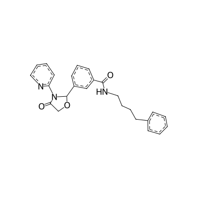 O=C(NCCCCc1ccccc1)c1cccc(C2OCC(=O)N2c2ccccn2)c1